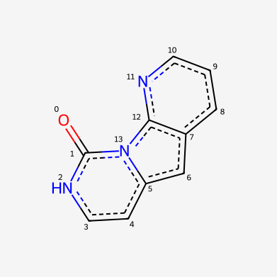 O=c1[nH]ccc2cc3cccnc3n12